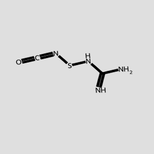 N=C(N)NSN=C=O